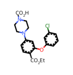 CCOC(=O)c1ccc(N2CCN(C(=O)O)CC2)cc1Oc1cccc(Cl)c1